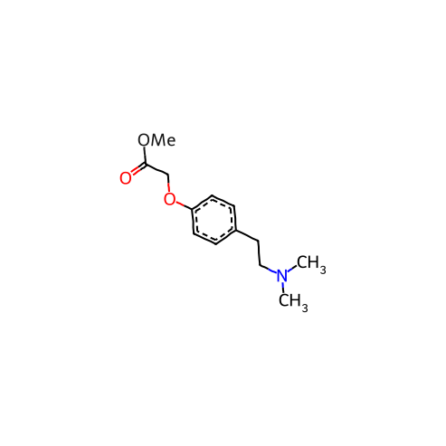 COC(=O)COc1ccc(CCN(C)C)cc1